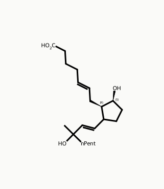 CCCCCC(C)(O)C=CC1CC[C@H](O)[C@@H]1CC=CCCCC(=O)O